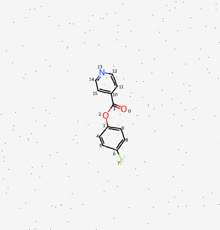 O=C(Oc1ccc(F)cc1)c1ccncc1